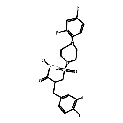 O=C(NO)C(Cc1ccc(F)c(F)c1)CS(=O)(=O)N1CCN(c2ccc(F)cc2F)CC1